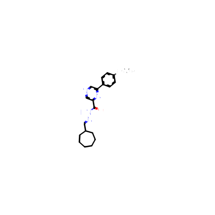 COc1ccc(-c2cncc(C(=O)NN=CC3CCCCCC3)n2)cc1